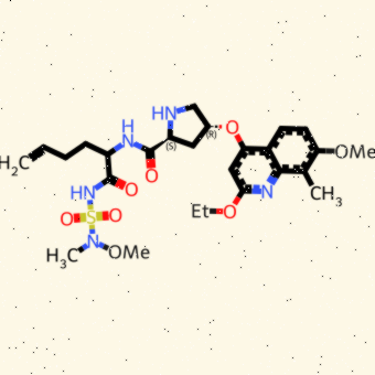 C=CCCC(NC(=O)[C@@H]1C[C@@H](Oc2cc(OCC)nc3c(C)c(OC)ccc23)CN1)C(=O)NS(=O)(=O)N(C)OC